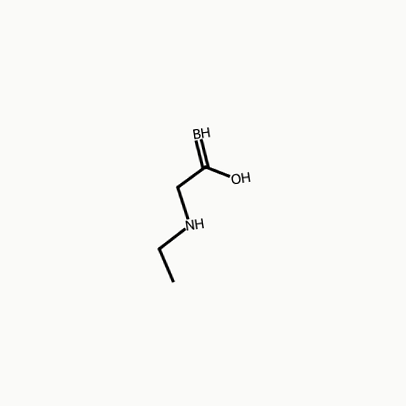 B=C(O)CNCC